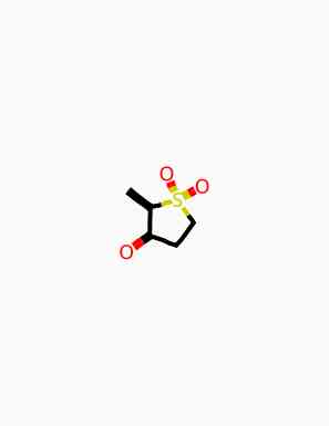 C=C1C(=O)CCS1(=O)=O